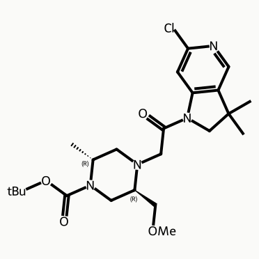 COC[C@H]1CN(C(=O)OC(C)(C)C)[C@H](C)CN1CC(=O)N1CC(C)(C)c2cnc(Cl)cc21